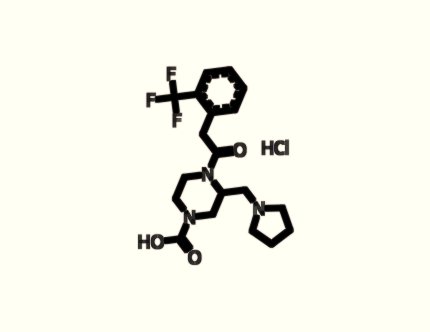 Cl.O=C(O)N1CCN(C(=O)Cc2ccccc2C(F)(F)F)C(CN2CCCC2)C1